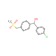 O=S(=O)(Cc1ccc(C(O)c2ccc(Cl)cc2)cc1)C(F)(F)F